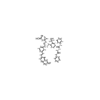 CC(C)(O)c1ccccc1CC[C@@H](SCC1(CC(=O)O)CC1)c1cccc(C=Cc2ccc3ccc(Cl)cc3n2)c1.c1ccc(CNCCNCc2ccccc2)cc1